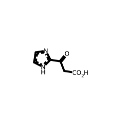 O=C(O)CC(=O)c1ncc[nH]1